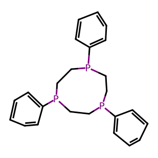 c1ccc(P2CCP(c3ccccc3)CCP(c3ccccc3)CC2)cc1